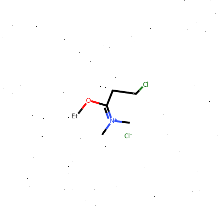 CCOC(CCCl)=[N+](C)C.[Cl-]